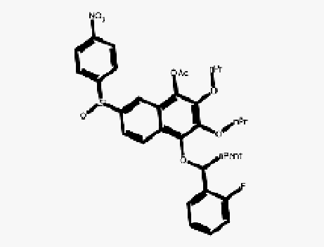 CCCCCC(Oc1c(OCCC)c(OCCC)c(OC(C)=O)c2cc([S+]([O-])c3ccc([N+](=O)[O-])cc3)ccc12)c1ccccc1F